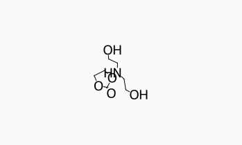 O=C1OCCO1.OCCNCCO